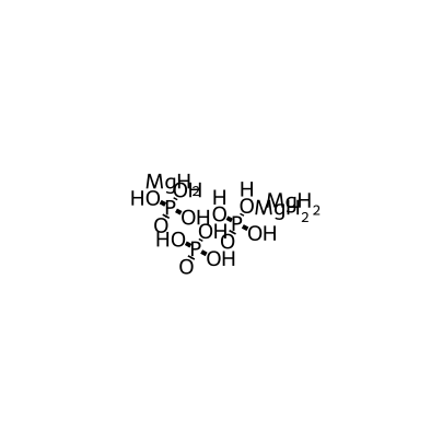 O=P(O)(O)O.O=P(O)(O)O.O=P(O)(O)O.[MgH2].[MgH2].[MgH2]